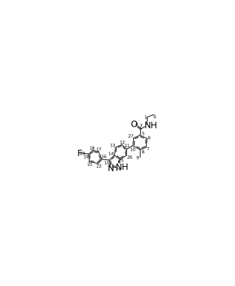 CCNC(=O)c1ccc(C)c(-c2ccc3c(-c4ccc(F)cc4)n[nH]c3c2)c1